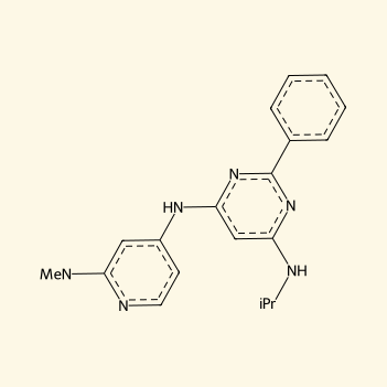 CNc1cc(Nc2cc(NC(C)C)nc(-c3ccccc3)n2)ccn1